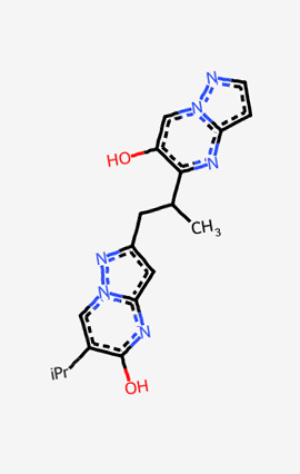 CC(C)c1cn2nc(CC(C)c3nc4ccnn4cc3O)cc2nc1O